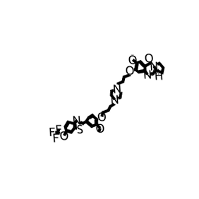 COc1cc(-c2nc3ccc(OC(F)(F)F)cc3s2)ccc1OCCCCN1CCN(CCCCOc2cc3c(cc2OC)C(=O)N2CCC[C@H]2C=N3)CC1